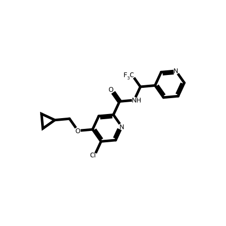 O=C(NC(c1cccnc1)C(F)(F)F)c1cc(OCC2CC2)c(Cl)cn1